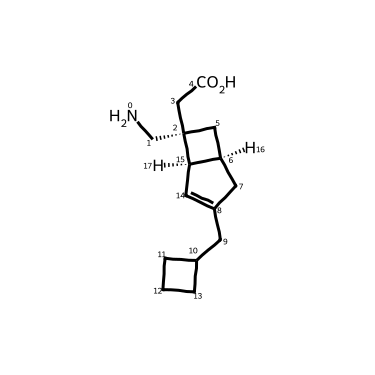 NC[C@]1(CC(=O)O)C[C@H]2CC(CC3CCC3)=C[C@H]21